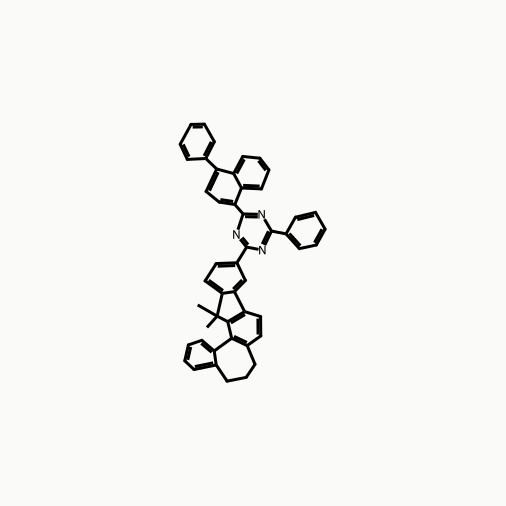 CC1(C)c2ccc(-c3nc(-c4ccccc4)nc(-c4ccc(-c5ccccc5)c5ccccc45)n3)cc2-c2ccc3c(c21)-c1ccccc1CCC3